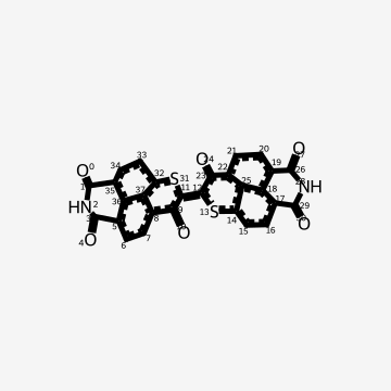 O=C1NC(=O)c2ccc3c(=O)/c(=c4\sc5ccc6c7c(ccc(c4=O)c57)C(=O)NC6=O)sc4ccc1c2c43